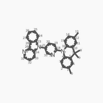 Cc1ccc2c(c1)C(C)(C)c1cc(C)ccc1N2c1ccc(-n2c3ccccc3c3ncccc32)cn1